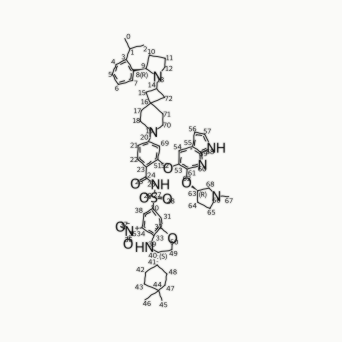 CC(C)c1ccccc1[C@H]1CCCN1C1CC2(CCN(c3ccc(C(=O)NS(=O)(=O)c4cc5c(c([N+](=O)[O-])c4)N[C@@H](C4CCC(C)(C)CC4)CO5)c(Oc4cc5cc[nH]c5nc4O[C@@H]4CCN(C)C4)c3)CC2)C1